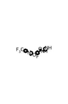 O=C(NC1CCNCC1)c1ccc(OC2CCN(c3ccc(C(F)(F)F)cc3)CC2)c(F)c1